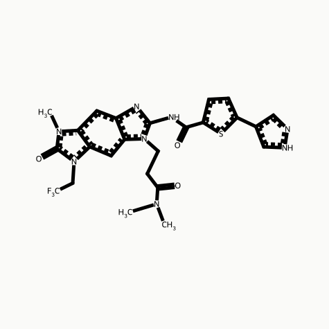 CN(C)C(=O)CCn1c(NC(=O)c2ccc(-c3cn[nH]c3)s2)nc2cc3c(cc21)n(CC(F)(F)F)c(=O)n3C